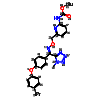 CC(C)c1ccc(Oc2ccc(/C(=N/OCc3cccc(NC(=O)OC(C)(C)C)n3)c3nnnn3C)cc2)cc1